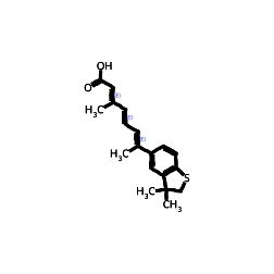 CC(/C=C/C=C(\C)c1ccc2c(c1)C(C)(C)CS2)=C\C(=O)O